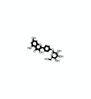 O=c1c(O)c(-c2ccc(OC3O[C@H](CO)[C@@H](O)[C@H](O)[C@H]3O)cc2)oc2cc(O)cc(O)c12